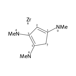 CNC1=CC(NC)=C(NC)[CH]1.[Zr]